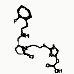 O=C(O)Oc1csc(SCCN2C(=O)CC[C@@H]2CNCCc2ccccc2F)n1